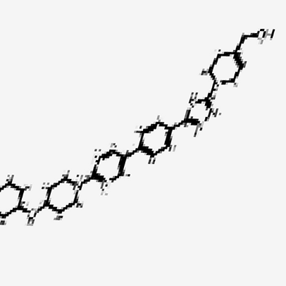 OCC1=CCN(c2nnc(-c3ccc(-c4cnc(N5CCC(OC6CCCCC6)CC5)nc4)cc3)s2)CC1